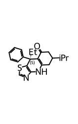 CC[C@]1(c2ccccc2)C2=C(CC(C(C)C)CC2=O)Nc2ncsc21